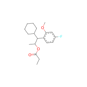 CCC(=O)OC(C)C(c1ccc(F)cc1OC)C1CCCCC1